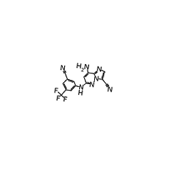 N#Cc1cc(Nc2cc(N)c3ncc(C#N)n3n2)cc(C(F)(F)F)c1